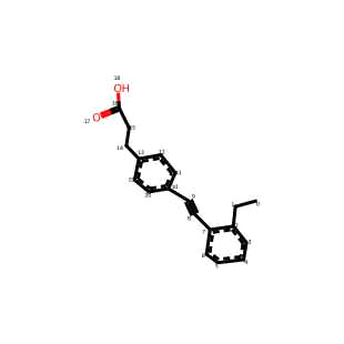 CCc1ccccc1C#Cc1ccc(CCC(=O)O)cc1